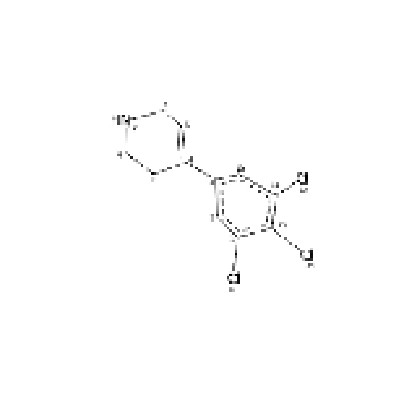 Clc1cc(C2=CCNCC2)cc(Cl)c1Cl